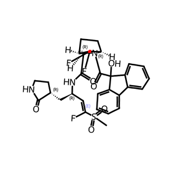 CS(=O)(=O)/C(F)=C/[C@@H](C[C@H]1CCNC1=O)NC(=O)[C@H]1[C@H]2CC[C@H](CC2(F)F)N1C(=O)C1(O)c2ccccc2-c2ccccc21